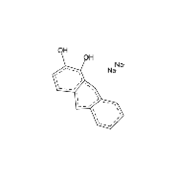 Oc1ccc2cc3ccccc3cc2c1O.[Na].[Na]